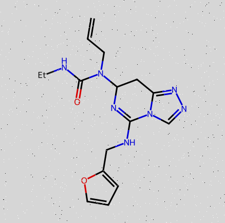 C=CCN(C(=O)NCC)C1Cc2nncn2C(NCc2ccco2)=N1